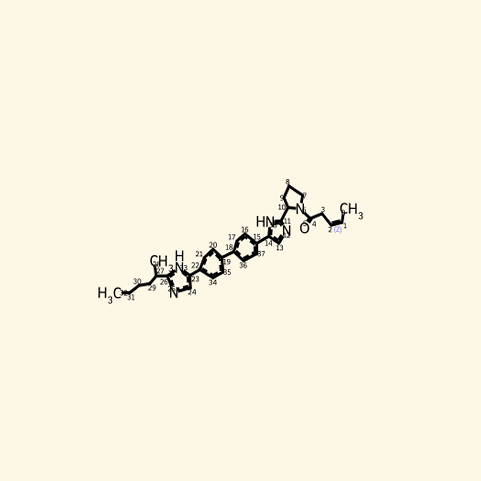 C/C=C\CC(=O)N1CCCC1c1ncc(-c2ccc(-c3ccc(-c4cnc(C(C)CCCC)[nH]4)cc3)cc2)[nH]1